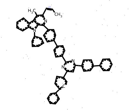 C/C=C\c1nc(-c2ccc(-c3ccc(-c4nc(-c5ccc(-c6ccccc6)cc5)cc(-c5ccc(-c6ccccc6)cc5)n4)cc3)cc2)c2c(c1C)c1ccccc1n2-c1ccccc1